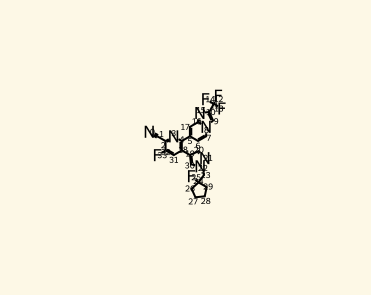 N#Cc1nc(-c2ccn3cc(C(F)(F)F)nc3c2)c(-c2cnn(CC3(F)CCCC3)c2)cc1F